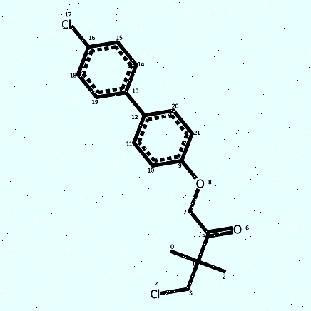 CC(C)(CCl)C(=O)COc1ccc(-c2ccc(Cl)cc2)cc1